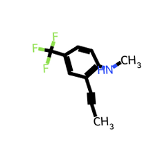 CC#Cc1cc(C(F)(F)F)ccc1NC